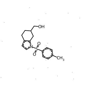 Cc1ccc(S(=O)(=O)n2ccc3c2CC(CO)CC3)cc1